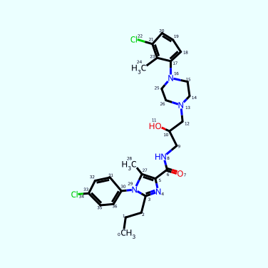 CCCc1nc(C(=O)NCC(O)CN2CCN(c3cccc(Cl)c3C)CC2)c(C)n1-c1ccc(Cl)cc1